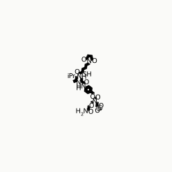 C=C(NC(C)C(=O)Nc1ccc(COC(=O)N(CCS(C)(=O)=O)COCC(N)=O)cc1)[C@@H](NC(=O)C(S)CCCCN1C(=O)CCC1=O)C(C)C